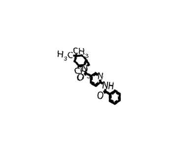 CC1(C)CC2CN(C(=O)c3ccc(NC(=O)c4ccccc4)nc3)C(C)(C2)C1